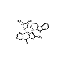 [CH2][C@@H]1C[C@@H](Nc2ncncc2C(=O)c2cc([C@@H]3OCCn4c3nc3ccccc34)c(C)s2)C[C@@H]1O